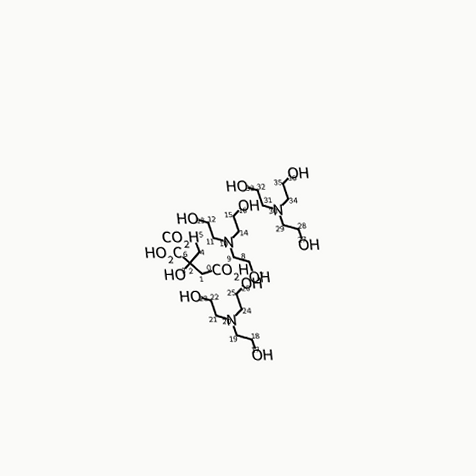 O=C(O)CC(O)(CC(=O)O)C(=O)O.OCCN(CCO)CCO.OCCN(CCO)CCO.OCCN(CCO)CCO